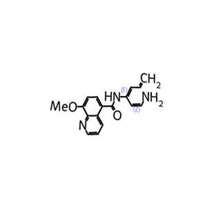 C=C/C=C(\C=C/N)NC(=O)c1ccc(OC)c2ncccc12